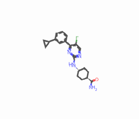 NC(=O)[C@H]1CC[C@H](Nc2ncc(F)c(-c3cccc(C4CC4)c3)n2)CC1